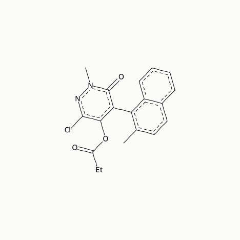 CCC(=O)Oc1c(Cl)nn(C)c(=O)c1-c1c(C)ccc2ccccc12